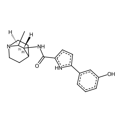 C[C@H]1[C@H](NC(=O)c2ccc(-c3cccc(O)c3)[nH]2)C2CCN1CC2